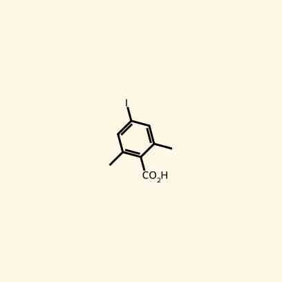 Cc1cc(I)cc(C)c1C(=O)O